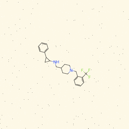 FC(F)(F)c1ccccc1CN1CCC(CNC2CC2c2ccccc2)CC1